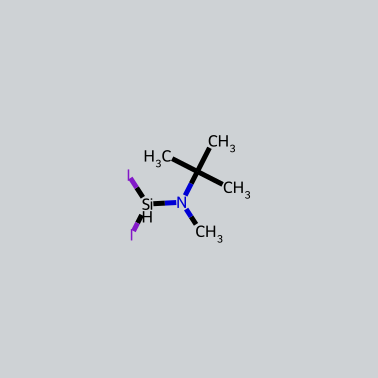 CN([SiH](I)I)C(C)(C)C